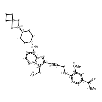 CNC(=O)c1ccc(NCC#Cc2cc3c(N[C@H]4CC[C@H](N5CC6(CCC6)C5)CC4)cccc3n2CC(F)(F)F)c(OC)c1